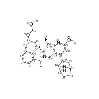 CCc1cccc2cc(OCOC)cc(-c3ncc4c(N5CC6CCC(C5)N6)nc(OC)nc4c3F)c12